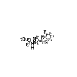 CC(C)(C)OC(=O)Nn1cc(-c2cnc3cccc(F)c3n2)cn1